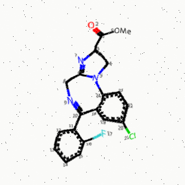 COC(=O)C1CN2C(=N1)CN=C(c1ccccc1F)c1cc(Cl)ccc12